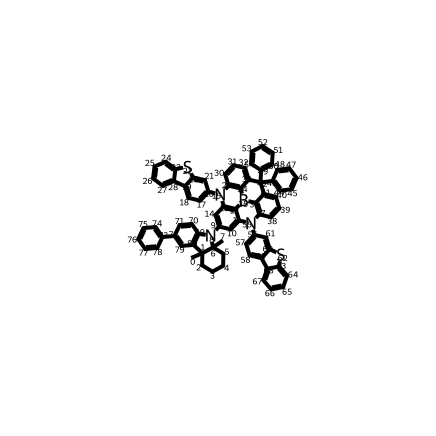 CC12CCCCC1(C)N(c1cc3c4c(c1)N(c1ccc5c(c1)sc1ccccc15)c1cccc5c1B4c1c(cccc1C5(c1ccccc1)c1ccccc1)N3c1ccc3c(c1)sc1ccccc13)c1ccc(-c3ccccc3)cc12